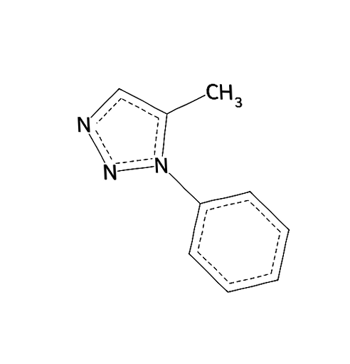 Cc1cnnn1-c1ccccc1